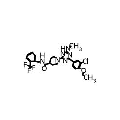 CCOc1ccc(-c2nc(NC)nc(N3CCC(C(=O)NCc4ccccc4C(F)(F)F)CC3)n2)cc1Cl